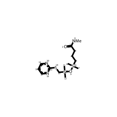 CNC(=O)CCC[Si](C)(C)O[Si](C)(C)CSc1ncccn1